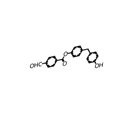 O=Cc1ccc(C(=O)Oc2ccc(Cc3ccc(O)cc3)cc2)cc1